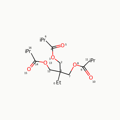 CCC(COC(=O)C(C)C)(COC(=O)C(C)C)COC(=O)C(C)C